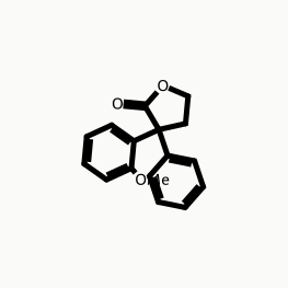 COc1ccccc1C1(c2ccccc2)CCOC1=O